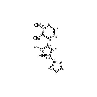 Cc1[nH]c(-c2cccs2)nc1-c1cccc(Cl)c1Cl